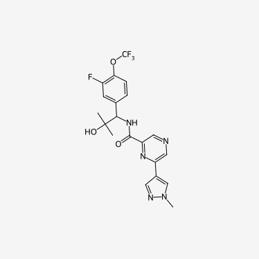 Cn1cc(-c2cncc(C(=O)NC(c3ccc(OC(F)(F)F)c(F)c3)C(C)(C)O)n2)cn1